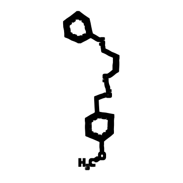 COc1ccc(CSS/C=C\CSc2ccccc2)cc1